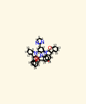 c1cnc(-c2cc(-n3c4ccccc4c4c5ccccc5oc43)c(-n3c4ccccc4c4c5ccccc5oc43)c(-n3c4ccccc4c4c5ccccc5oc43)c2)nc1